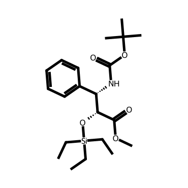 CC[Si](CC)(CC)O[C@@H](C(=O)OC)[C@@H](NC(=O)OC(C)(C)C)c1ccccc1